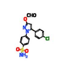 NS(=O)(=O)c1ccc(-n2nc(OC=O)cc2-c2ccc(Cl)cc2)cc1